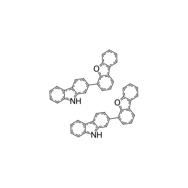 c1ccc2c(c1)[nH]c1cc(-c3cccc4c3oc3ccccc34)ccc12.c1ccc2c(c1)[nH]c1cc(-c3cccc4c3oc3ccccc34)ccc12